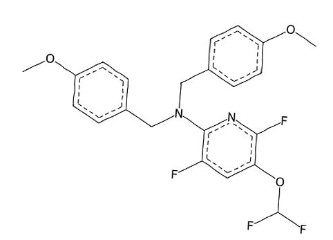 COc1ccc(CN(Cc2ccc(OC)cc2)c2nc(F)c(OC(F)F)cc2F)cc1